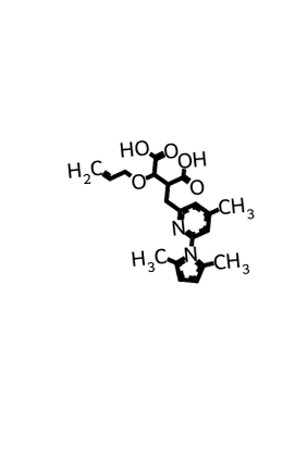 C=CCOC(C(=O)O)C(Cc1cc(C)cc(-n2c(C)ccc2C)n1)C(=O)O